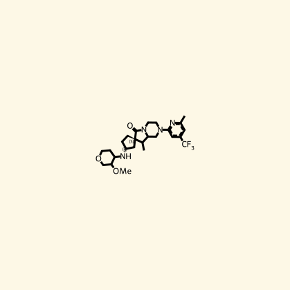 COC1COCCC1N[C@@H]1CC[C@@]2(C1)C(=O)N1CCN(c3cc(C(F)(F)F)cc(C)n3)CC1C2C